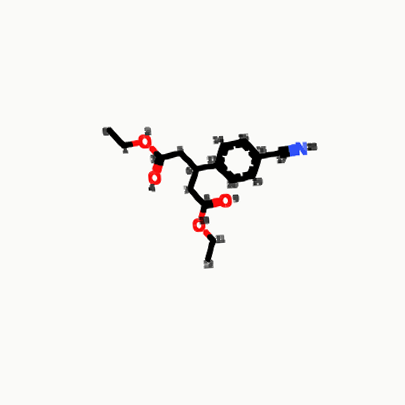 CCOC(=O)CC(CC(=O)OCC)c1ccc(C#N)cc1